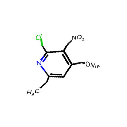 COc1cc(C)nc(Cl)c1[N+](=O)[O-]